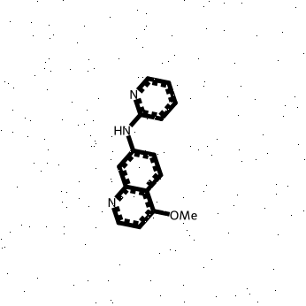 COc1ccnc2cc(Nc3ccccn3)ccc12